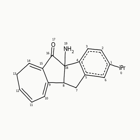 CC(C)c1ccc2c(c1)CC1C3=CC=CCC=C3C(=O)C21N